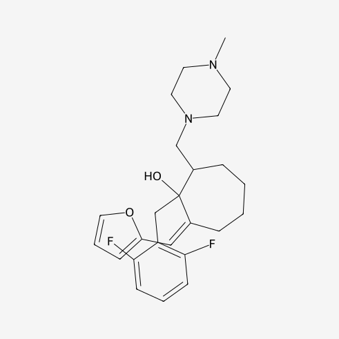 CN1CCN(CC2CCCCC(=Cc3ccco3)C2(O)Cc2c(F)cccc2F)CC1